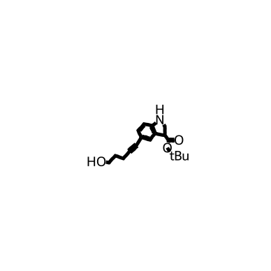 CC(C)(C)OC(=O)C1CNc2ccc(C#CCCCO)cc21